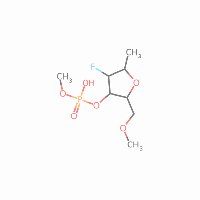 COCC1OC(C)C(F)C1OP(=O)(O)OC